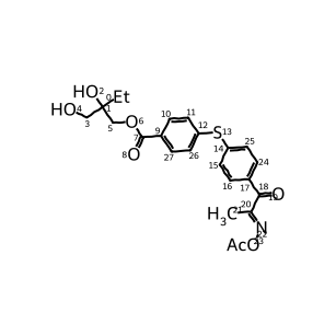 CCC(O)(CO)COC(=O)c1ccc(Sc2ccc(C(=O)/C(C)=N/OC(C)=O)cc2)cc1